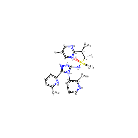 COc1cccc(-c2nnc(NS(=O)(=[SiH2])[C@@H](C)[C@H](OC)c3ncc(C)cn3)n2-c2cccnc2OC)n1